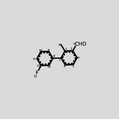 Cc1c(C=O)cccc1-c1cccc(F)c1